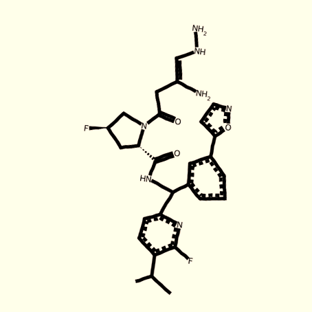 CC(C)c1ccc(C(NC(=O)[C@@H]2C[C@@H](F)CN2C(=O)C/C(N)=C/NN)c2cccc(-c3ccno3)c2)nc1F